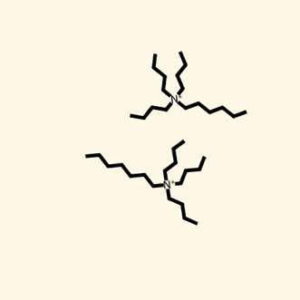 CCCCCCC[N+](CCCC)(CCCC)CCCC.CCCCCC[N+](CCCC)(CCCC)CCCC